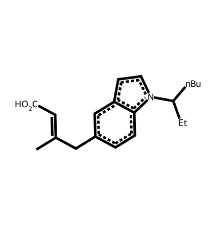 CCCCC(CC)n1ccc2cc(CC(C)=CC(=O)O)ccc21